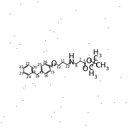 CC(C)(C)OC(=O)CCNCCCOc1ccc(Cc2ccccc2)cc1